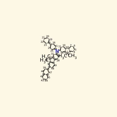 CC1(C)c2ccccc2-c2ccc(N(c3ccc(-c4ccccc4)cc3)c3ccc4c(c3)C(C)(C)c3cc(-c5ccc6ccccc6c5)ccc3-4)cc21